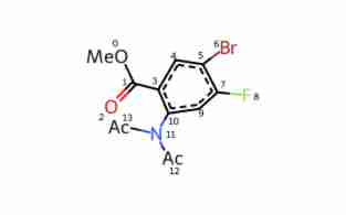 COC(=O)c1cc(Br)c(F)cc1N(C(C)=O)C(C)=O